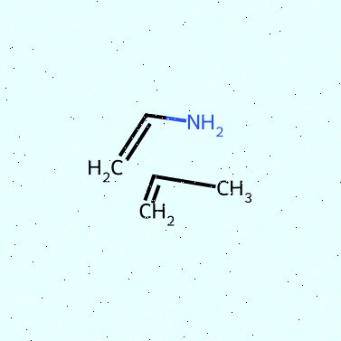 C=CC.C=CN